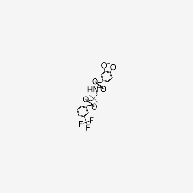 CC(C)(CNS(=O)(=O)c1ccc2c(c1)OCO2)S(=O)(=O)c1cccc(C(F)(F)F)c1